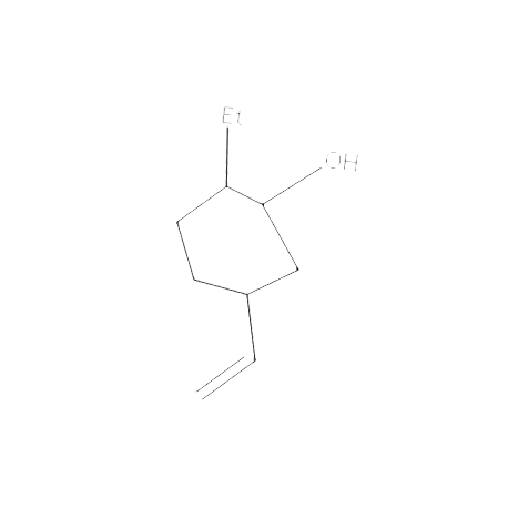 C=CC1CCC(CC)C(O)C1